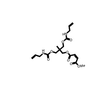 C=CCNC(=O)OCC(C)(COC(=O)/C=C\C(=O)OC)COC(=O)NCC=C